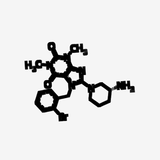 Cn1c(=O)c2c(nc(N3CCC[C@@H](N)C3)n2Cc2ccccc2Br)n(C)c1=O